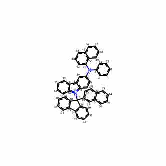 c1ccc(N(c2ccc3c(c2)c2ccccc2n3C2(c3ccc4ccccc4c3)c3ccccc3-c3ccccc32)c2cccc3ccccc23)cc1